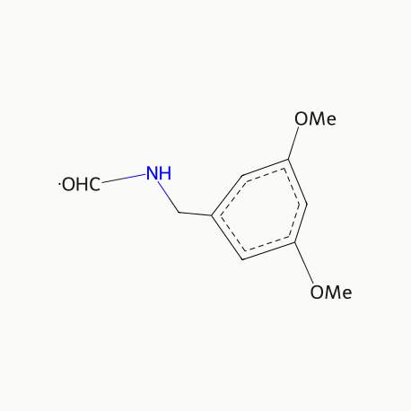 COc1cc(CN[C]=O)cc(OC)c1